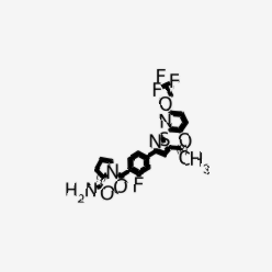 C[C@@H](Oc1ccc(OCC(F)(F)F)nc1)c1cc(-c2ccc(C(=O)N3CCC[C@H]3C(N)=O)c(F)c2)ns1